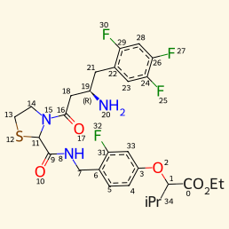 CCOC(=O)C(Oc1ccc(CNC(=O)C2SCCN2C(=O)C[C@H](N)Cc2cc(F)c(F)cc2F)c(F)c1)C(C)C